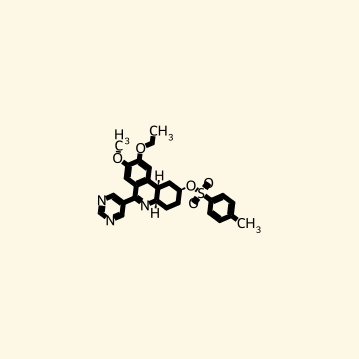 CCOc1cc2c(cc1OC)C(c1cncnc1)=N[C@@H]1CC[C@@H](OS(=O)(=O)c3ccc(C)cc3)C[C@H]21